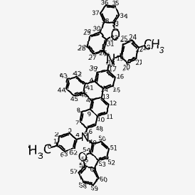 Cc1ccc(N(c2ccc3c(ccc4c5ccc(N(c6ccc(C)cc6)c6cccc7c6oc6ccccc67)cc5c5ccccc5c34)c2)c2cccc3c2oc2ccccc23)cc1